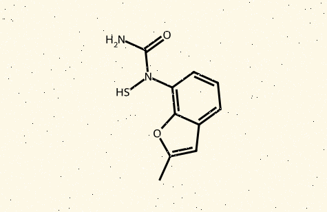 Cc1cc2cccc(N(S)C(N)=O)c2o1